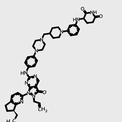 C=CCn1c(=O)c2cnc(Nc3ccc(N4CCN(CC5CCN(c6cccc(NC7CCC(=O)NC7=O)c6)CC5)CC4)cc3)nc2n1-c1ccc2c(n1)[C@@H](CC)CC2